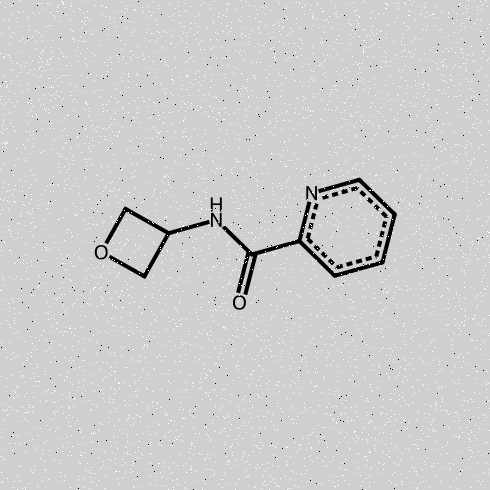 O=C(NC1COC1)c1ccccn1